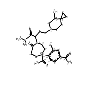 CN(C)C(=O)C(CCN1CCC2(CC2)[C@H](O)C1)N1CC[N@@+](C(=O)O)(c2ccc(C(N)=O)cc2Cl)CCC1=O